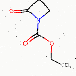 O=C1CCN1C(=O)OCC(Cl)(Cl)Cl